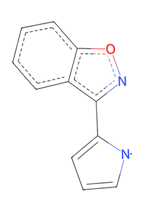 C1=C[N]C(c2noc3ccccc23)=C1